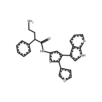 NCCC(C(=O)Nc1cc(-c2c[nH]c3ncccc23)c(-c2ccoc2)s1)c1ccccc1